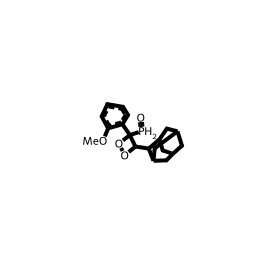 COc1ccccc1C1([PH2]=O)OOC1C1C2CC3CC(C2)CC1C3